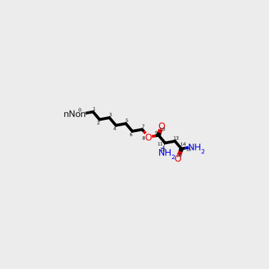 CCCCCCCCCCCCCCCCOC(=O)[C@@H](N)CC(N)=O